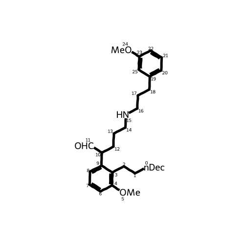 CCCCCCCCCCCCc1c(OC)cccc1C(C=O)CCCNCCCc1cccc(OC)c1